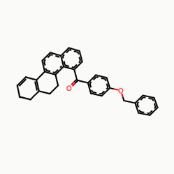 O=C(c1ccc(OCc2ccccc2)cc1)c1cccc2ccc3c(c12)CCC1=C3C=CCC1